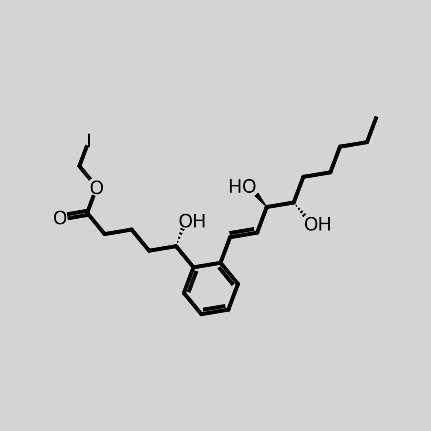 CCCCC[C@H](O)[C@H](O)/C=C/c1ccccc1[C@@H](O)CCCC(=O)OCI